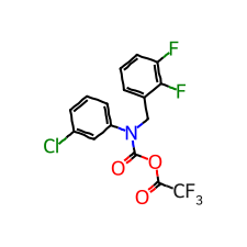 O=C(OC(=O)C(F)(F)F)N(Cc1cccc(F)c1F)c1cccc(Cl)c1